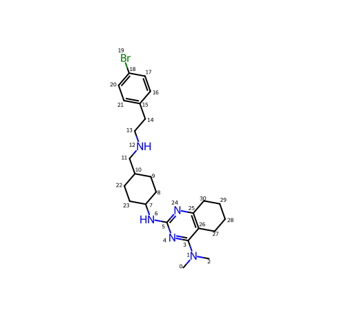 CN(C)c1nc(NC2CCC(CNCCc3ccc(Br)cc3)CC2)nc2c1CCCC2